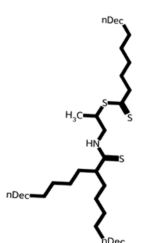 CCCCCCCCCCCCCCCC(=S)SC(C)CNC(=S)C(CCCCCCCCCCCCCC)CCCCCCCCCCCCCC